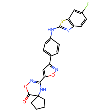 O=C1ON=C(c2cc(-c3ccc(Nc4nc5ccc(F)cc5s4)cc3)no2)NC12CCCC2